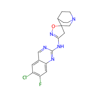 Fc1cc2nc(NC3=NOC4(C3)CN3CCC4CC3)ncc2cc1Cl